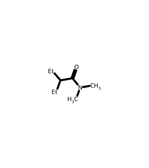 CCC(CC)C(=O)N(C)C